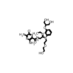 CC[n+]1c(CNC(=O)c2nc(Cl)c(N)nc2N)n(CCOCCO)c2cccc(OC(CO)CO)c21